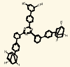 N#Cc1cc(C#N)cc(-c2ccc(-c3nc(-c4cccc(-c5ccc(C67C[C@H]8C[C@@H](C6)C[C@@H](C7)C8)cc5)c4)nc(-c4cccc(-c5ccc(C67C[C@H]8C[C@H](C6)C[C@@H](C7)C8)cc5)c4)n3)cc2)c1